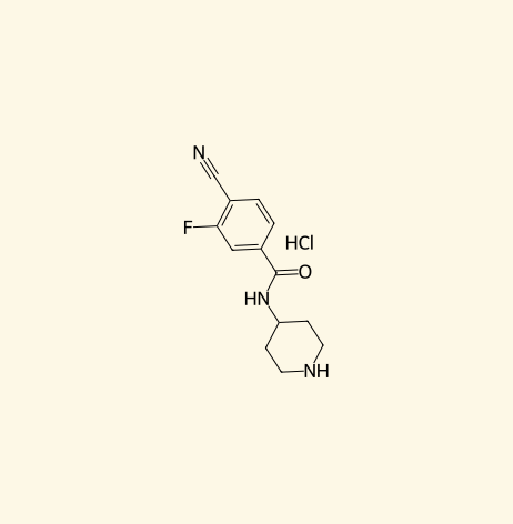 Cl.N#Cc1ccc(C(=O)NC2CCNCC2)cc1F